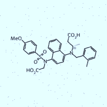 COc1ccc(S(=O)(=O)N(CC(=O)O)c2ccc(N(Cc3ccccc3C)[C@@H](C)CC(=O)O)c3ccccc23)cc1